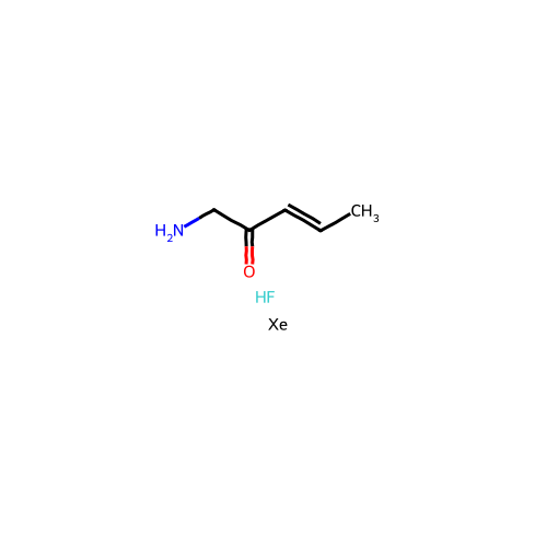 CC=CC(=O)CN.F.[Xe]